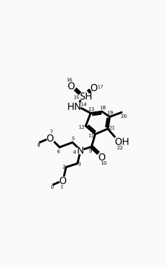 COCCN(CCOC)C(=O)c1cc(N[SH](=O)=O)cc(C)c1O